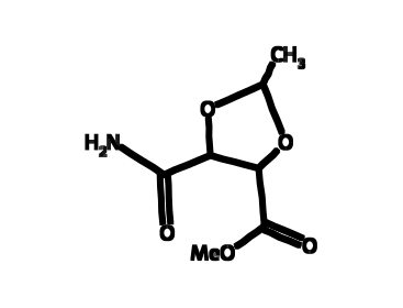 COC(=O)C1OC(C)OC1C(N)=O